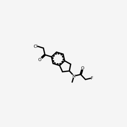 CN(C(=O)CF)C1Cc2ccc(C(=O)CCl)cc2C1